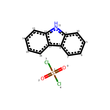 O=S(=O)(Cl)Cl.c1ccc2c(c1)[nH]c1ccccc12